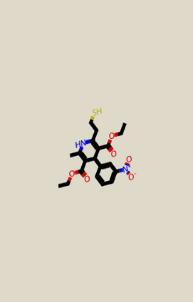 CCOC(=O)C1=C(C)NC(CCS)=C(C(=O)OCC)C1c1cccc([N+](=O)[O-])c1